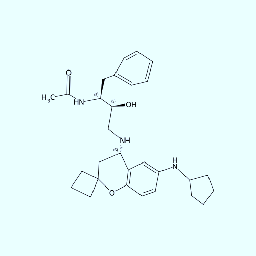 CC(=O)N[C@@H](Cc1ccccc1)[C@@H](O)CN[C@H]1CC2(CCC2)Oc2ccc(NC3CCCC3)cc21